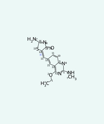 CCOc1nc(NC)nc2ccc(/C=C3/SC(N)=NC3=O)cc12